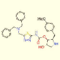 COc1ccc(C[C@H]2NC[C@H](O)[C@H]2OC(=O)Nc2nnc(CN(Cc3ccccc3)Cc3ccccc3)s2)cc1